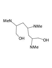 CNC(CO)CC(CC(CO)NC)NC